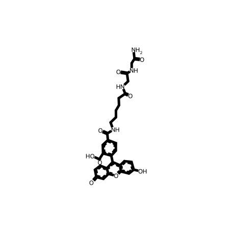 NC(=O)CNC(=O)CNC(=O)CCCCCNC(=O)c1ccc(-c2c3ccc(=O)cc-3oc3cc(O)ccc23)c(C(=O)O)c1